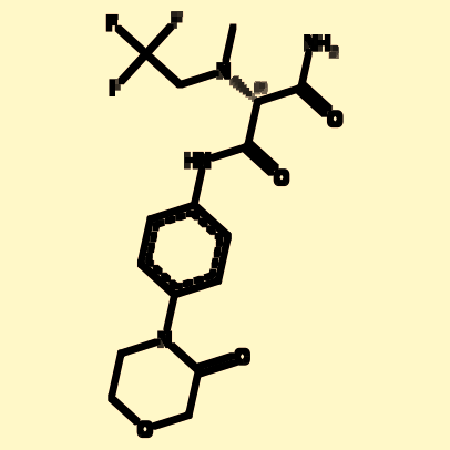 CN(CC(F)(F)F)[C@H](C(N)=O)C(=O)Nc1ccc(N2CCOCC2=O)cc1